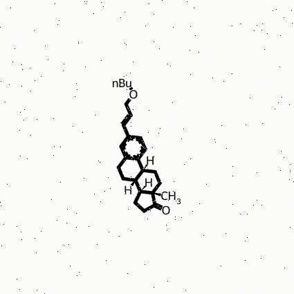 CCCCOC/C=C/c1ccc2c(c1)CC[C@@H]1[C@@H]2CC[C@]2(C)C(=O)CC[C@@H]12